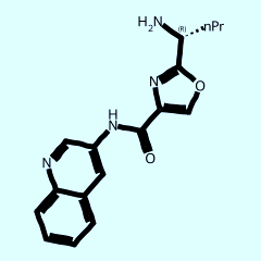 CCC[C@@H](N)c1nc(C(=O)Nc2cnc3ccccc3c2)co1